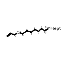 C=CCOCCCCCCCCCCCCCC